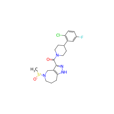 C[S+]([O-])N1CCCc2[nH]nc(C(=O)N3CCC(c4cc(F)ccc4Cl)CC3)c2C1